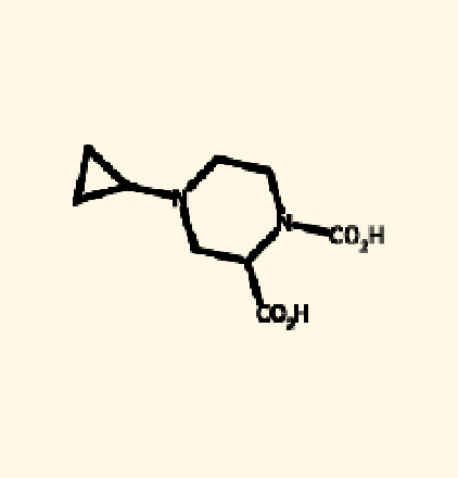 O=C(O)C1CN(C2CC2)CCN1C(=O)O